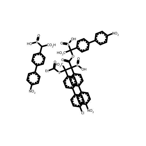 CCC(=O)SC(C(=O)O)(c1ccc(-c2ccc(Cl)cc2)cc1)C(C(=O)OC(C(=O)O)(c1ccc(-c2ccc([N+](=O)[O-])cc2)cc1)S(=O)O)(c1ccc(-c2ccc([N+](=O)[O-])cc2)cc1)S(=O)O.O=C(O)C(c1ccc(-c2ccc([N+](=O)[O-])cc2)cc1)S(=O)O